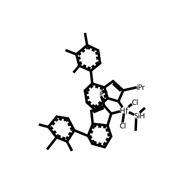 Cc1ccc(-c2cccc3c2C=C(C(C)C)[CH]3[Hf]([Cl])([Cl])([CH]2C(C(C)C)=Cc3c(-c4ccc(C)c(C)c4C)cccc32)[SiH](C)C)c(C)c1C